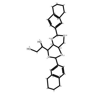 OCC(O)C1OC(c2ccc3c(c2)CCCC3)OC2COC(c3ccc4c(c3)CCCC4)OC21